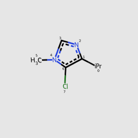 CC(C)c1ncn(C)c1Cl